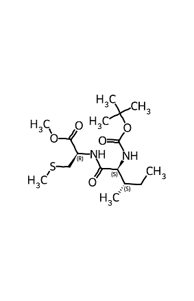 CC[C@H](C)[C@H](NC(=O)OC(C)(C)C)C(=O)N[C@@H](CSC)C(=O)OC